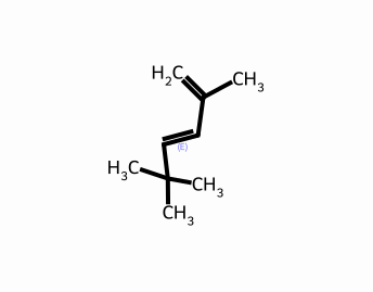 C=C(C)/C=C/C(C)(C)C